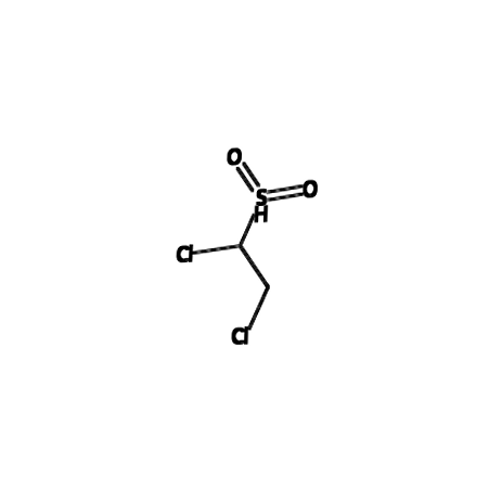 O=[SH](=O)C(Cl)CCl